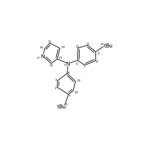 CC(C)(C)c1ccc(N(c2ccc(C(C)(C)C)cc2)c2cccnc2)cc1